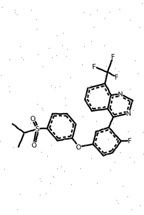 CC(C)S(=O)(=O)c1cccc(Oc2ccc(F)c(-c3ncnc4c(C(F)(F)F)cccc34)c2)c1